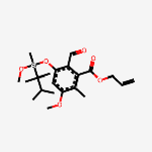 C=CCOC(=O)c1c(C)c(OC)cc(O[Si](C)(OC)C(C)(C)C(C)C)c1C=O